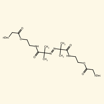 CCCCCCCCCCCC(=O)OCCNC(=O)C(C)(C)N=NC(C)(C)C(=O)NCCOC(=O)CCCCCCCCCCC